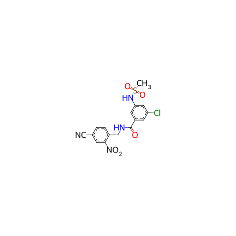 CS(=O)(=O)Nc1cc(Cl)cc(C(=O)NCc2ccc(C#N)cc2[N+](=O)[O-])c1